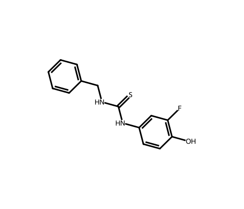 Oc1ccc(NC(=S)NCc2ccccc2)cc1F